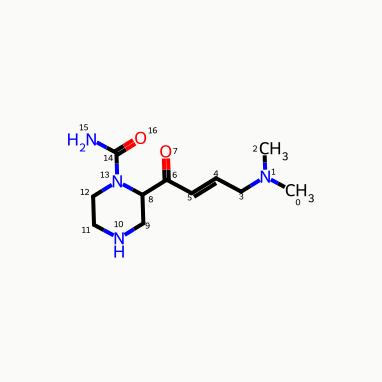 CN(C)CC=CC(=O)C1CNCCN1C(N)=O